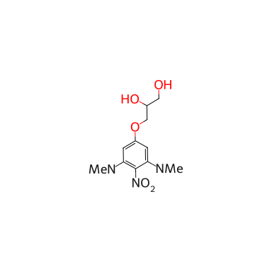 CNc1cc(OCC(O)CO)cc(NC)c1[N+](=O)[O-]